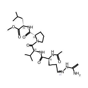 C=C(N)N/N=C\CC[C@H](NC(C)=O)C(=O)N[C@H](C(=O)N1CCC[C@H]1C(=O)N[C@@H](CC(C)C)C(=O)OC)C(C)C